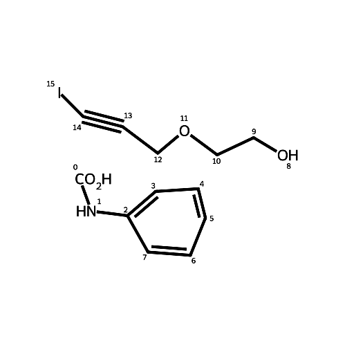 O=C(O)Nc1ccccc1.OCCOCC#CI